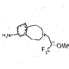 CO[C@@H](CN1CCc2ccc(N)cc2CC1)C(F)(F)F